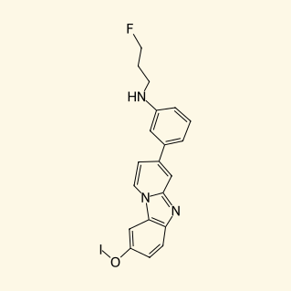 FCCCNc1cccc(-c2ccn3c(c2)nc2ccc(OI)cc23)c1